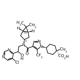 CC1(C)[C@@H]2C[C@@H](N(CC(O)c3ncncc3Cl)C(=O)c3cnn([C@H]4CC[C@](C)(C(=O)O)CC4)c3C(F)(F)F)C[C@@H]21